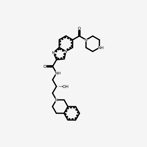 O=C(NC[C@H](O)CN1CCc2ccccc2C1)c1cn2cc(C(=O)N3CCNCC3)ccc2n1